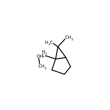 CC1(C)C2CCCC21C.CO